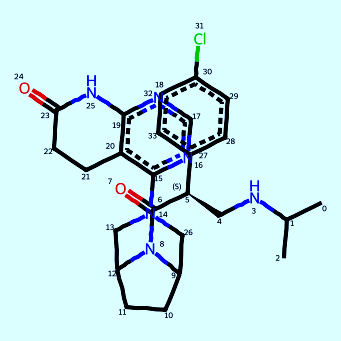 CC(C)NC[C@@H](C(=O)N1C2CCC1CN(c1ncnc3c1CCC(=O)N3)C2)c1ccc(Cl)cc1